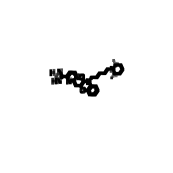 C[C@@H]1CCC[C@H](C)N1CCCCCN1C(=O)C(Cc2nccc(C(=N)N)n2)Oc2ccccc21